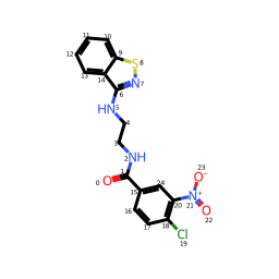 O=C(NCCNc1nsc2ccccc12)c1ccc(Cl)c([N+](=O)[O-])c1